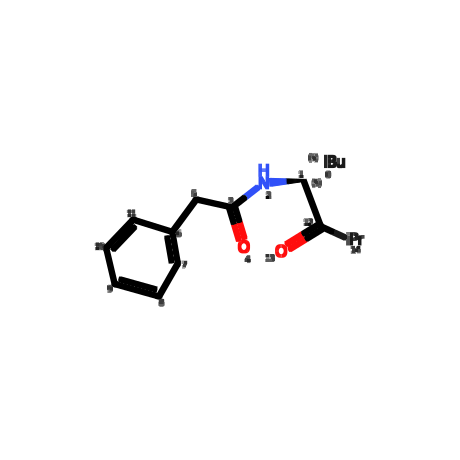 CC[C@H](C)[C@H](NC(=O)Cc1ccccc1)C(=O)C(C)C